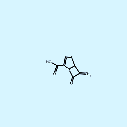 C=C1C(=O)N2C(C(=O)O)=CSC12